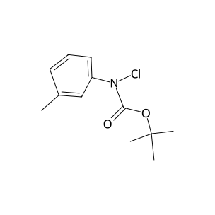 Cc1cccc(N(Cl)C(=O)OC(C)(C)C)c1